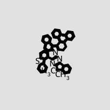 CC1(C)c2ccccc2-c2nc(-n3c4c(c5c6ccccc6ccc53)-c3c(c5ccccc5c5ccccc35)CC4)c(-c3c#ccc4sc5ccccc5c34)nc21